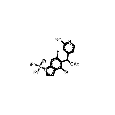 CC(=O)OC(c1ccnc(C#N)c1)c1c(F)cc2c(ccn2[Si](C(C)C)(C(C)C)C(C)C)c1Br